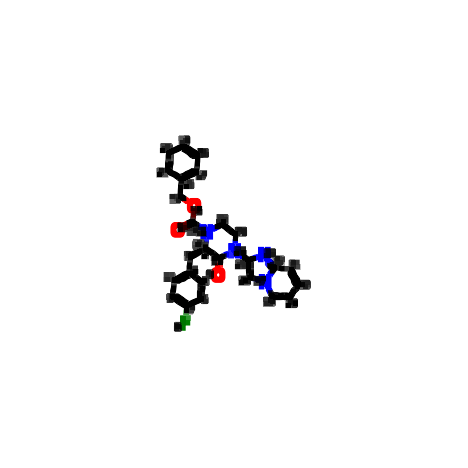 O=C1[C@@H](Cc2ccc(F)cc2)N(C(=O)OCc2ccccc2)CCN1c1cn2ccccc2n1